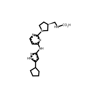 O=C(O)NC[C@@H]1CCN(c2nccc(Nc3cc(C4CCCC4)[nH]n3)n2)C1